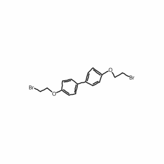 BrCCOc1ccc(-c2ccc(OCCBr)cc2)cc1